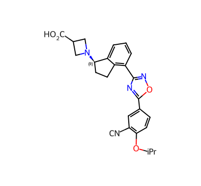 [C-]#[N+]c1cc(-c2nc(-c3cccc4c3CC[C@H]4N3CC(C(=O)O)C3)no2)ccc1OC(C)C